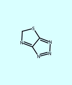 C1N=C2N=NN=C2S1